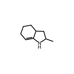 CC1CC2CCCC=C2N1